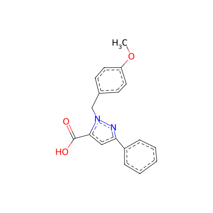 COc1ccc(Cn2nc(-c3ccccc3)cc2C(=O)O)cc1